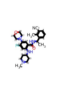 Cc1c(C#N)cccc1[C@@H](C)NC(=O)c1cc(N2CCOCC2)c(F)cc1NC1CCN(C)CC1